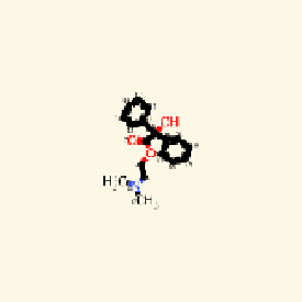 CN(C)CCOC(=O)C(O)(c1ccccc1)c1ccccc1